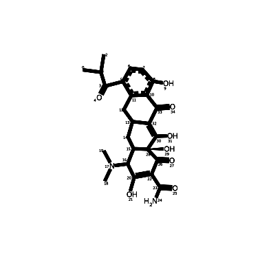 CC(C)C(=O)c1ccc(O)c2c1CC1CC3C(N(C)C)C(O)=C(C(N)=O)C(=O)[C@@]3(O)C(O)=C1C2=O